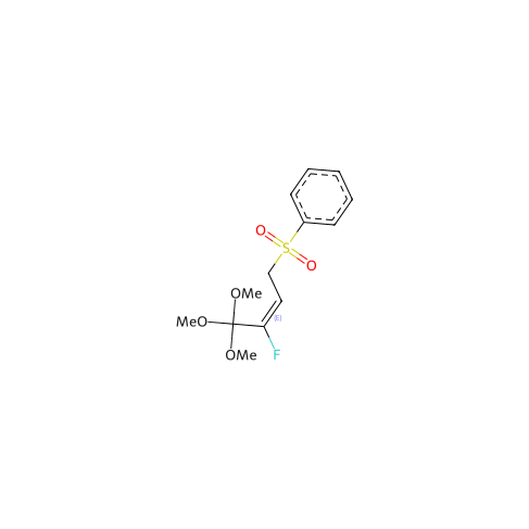 COC(OC)(OC)/C(F)=C\CS(=O)(=O)c1ccccc1